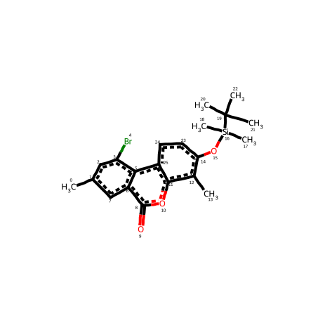 Cc1cc(Br)c2c(c1)c(=O)oc1c(C)c(O[Si](C)(C)C(C)(C)C)ccc12